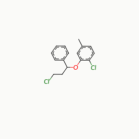 Cc1ccc(Cl)c(OC(CCCl)c2ccccc2)c1